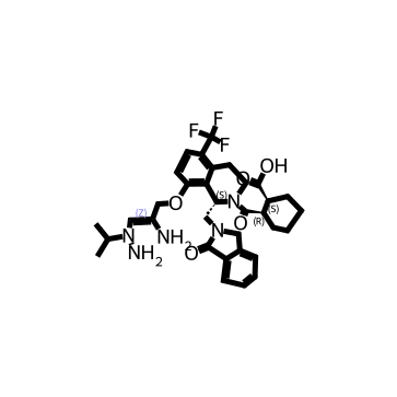 CC(C)N(N)/C=C(\N)COc1ccc(C(F)(F)F)c2c1[C@@H](CN1Cc3ccccc3C1=O)N(C(=O)[C@@H]1CCCC[C@@H]1C(=O)O)CC2